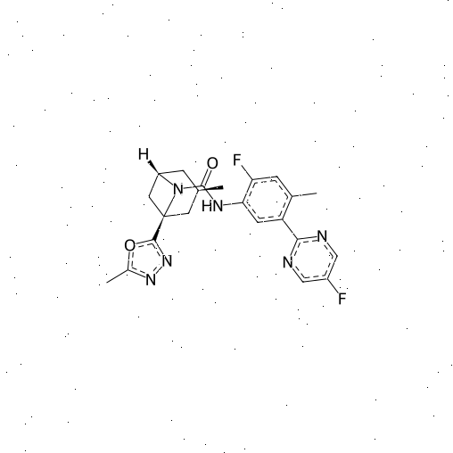 Cc1nnc([C@@]23C[C@H](C)C[C@@H](C2)N3C(=O)Nc2cc(-c3ncc(F)cn3)c(C)cc2F)o1